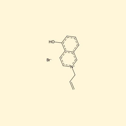 C=CC[n+]1ccc2c(O)cccc2c1.[Br-]